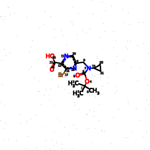 CC(C)(C)OC(=O)N(Cc1cnc(C(=O)O)c(Br)n1)C1CC1